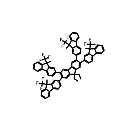 CCC1(CC)c2cc(-c3ccc4c(c3)C(C)(C(F)(F)F)c3ccccc3-4)c(-c3ccc4c(c3)C(C)(C(F)(F)F)c3ccccc3-4)cc2-c2cc(-c3ccc4c(c3)C(C)(C(F)(F)F)c3ccccc3-4)c(-c3ccc4c(c3)C(C)(C(F)(F)F)c3ccccc3-4)cc21